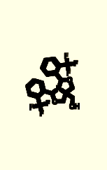 OCC12COC(c3ccccc3C(F)(F)F)N1C(c1ccccc1C(F)(F)F)OC2